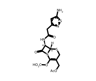 CC(=O)OCC1=C(OC(=O)O)N2C(=O)[C@@H](NC(=O)Cc3cc(N)sn3)[C@@H]2SC1